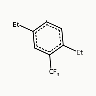 CCc1[c]cc(CC)c(C(F)(F)F)c1